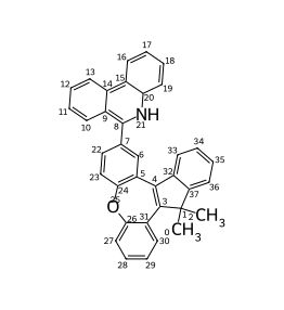 CC1(C)C2=C(c3cc(C4=c5ccccc5=C5C=CC=CC5N4)ccc3Oc3ccccc32)c2ccccc21